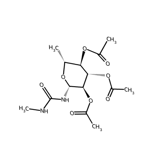 CNC(=O)N[C@@H]1O[C@H](C)[C@@H](OC(C)=O)[C@H](OC(C)=O)[C@H]1OC(C)=O